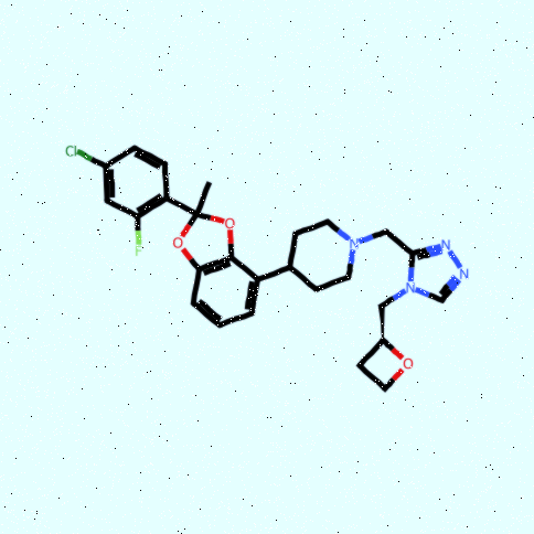 CC1(c2ccc(Cl)cc2F)Oc2cccc(C3CCN(Cc4nncn4C[C@@H]4CCO4)CC3)c2O1